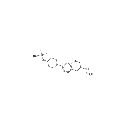 CC(C)(C)[Si](C)(C)OC1CCN(c2ccc3c(c2)OCC(NC(=O)O)C3)CC1